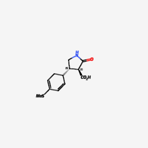 CSC1=CCC([C@@H]2CNC(=O)[C@H]2C(=O)O)C=C1